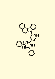 C1=CC(C2NC(c3ccccc3)NC(c3ccccc3)N2)=CC(n2c3ccccc3c3c4ccccc4ccc32)N1